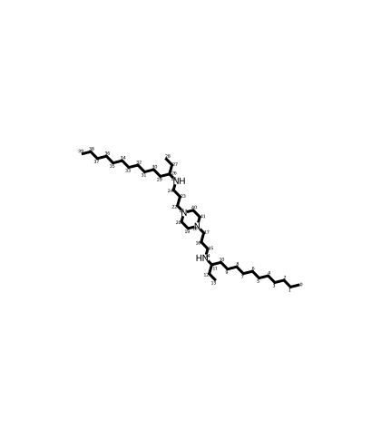 CCCCCCCCCCCC(CC)NCCCN1CCN(CCCNC(CC)CCCCCCCCCCC)CC1